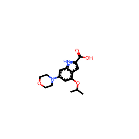 CC(C)Oc1cc(N2CCOCC2)cc2[nH]c(C(=O)O)cc12